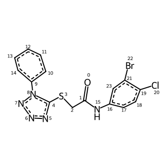 O=C(CSc1nnnn1-c1ccccc1)Nc1ccc(Cl)c(Br)c1